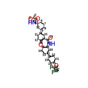 CS(=O)(=O)Nc1cccc(-c2ccc3c(c2)C(=O)Nc2cc(-c4ccc(OC(F)(F)F)cc4)ccc2O3)c1